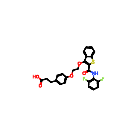 O=C(O)CCc1ccc(OCCOc2c(C(=O)Nc3c(F)cccc3F)sc3ccccc23)cc1